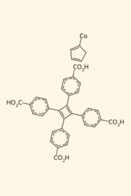 O=C(O)c1ccc(C2=C(c3ccc(C(=O)O)cc3)C(c3ccc(C(=O)O)cc3)=C2c2ccc(C(=O)O)cc2)cc1.[Co][C]1=CC=CC1